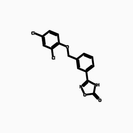 O=c1[nH]c(-c2cccc(COc3ccc(Cl)cc3Cl)c2)no1